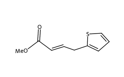 COC(=O)C=CCc1cccs1